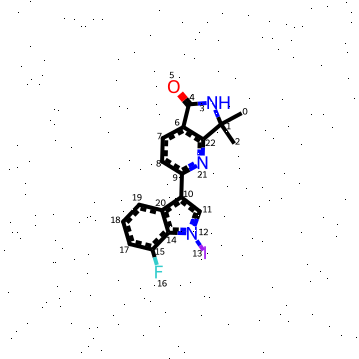 CC1(C)NC(=O)c2ccc(-c3cn(I)c4c(F)cccc34)nc21